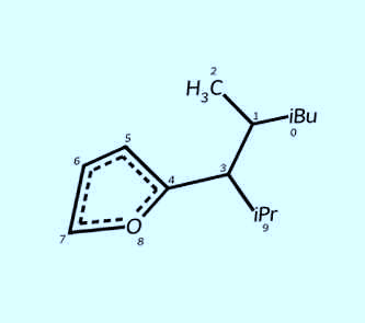 CCC(C)C(C)C(c1ccco1)C(C)C